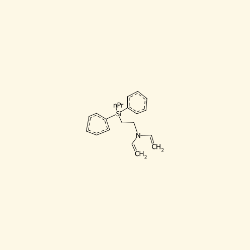 C=CN(C=C)CC[Si](CCC)(c1ccccc1)c1ccccc1